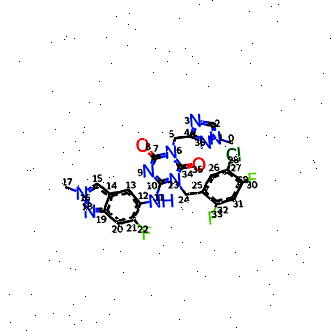 Cn1cnc(Cn2c(=O)nc(Nc3cc4cn(C)nc4cc3F)n(Cc3cc(Cl)c(F)cc3F)c2=O)n1